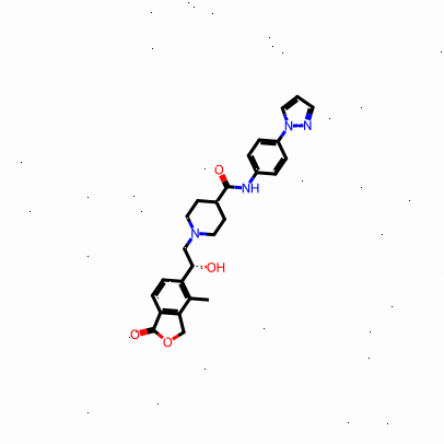 Cc1c([C@@H](O)CN2CCC(C(=O)Nc3ccc(-n4cccn4)cc3)CC2)ccc2c1COC2=O